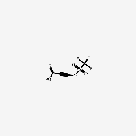 O=C(O)C#COS(=O)(=O)C(F)(F)F